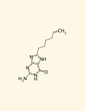 C=CCCCCc1nc2nc(N)[nH]c(=O)c2[nH]1